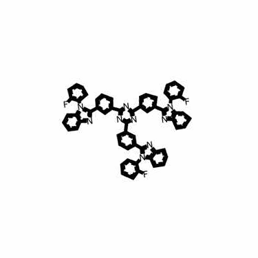 Fc1ccccc1-n1c(-c2cccc(-c3nc(-c4cccc(-c5nc6ccccc6n5-c5ccccc5F)c4)nc(-c4cccc(-c5nc6ccccc6n5-c5ccccc5F)c4)n3)c2)nc2ccccc21